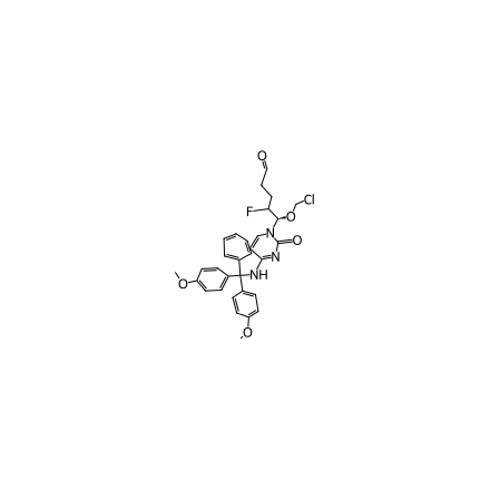 COc1ccc(C(Nc2ccn([C@H](OCCl)C(F)CCC=O)c(=O)n2)(c2ccccc2)c2ccc(OC)cc2)cc1